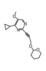 COc1cnc(C#CCOC2CCCCO2)nc1C1CC1